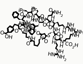 CC[C@H](C)[C@H](N)C(=O)N[C@@H](Cc1ccccc1)C(=O)N[C@@H](CC(C)C)C(=O)N[C@@H](CC(C)C)C(=O)N[C@@H](Cc1c[nH]c2ccccc12)C(=O)N[C@@H](CCC(N)=O)C(=O)N[C@@H](CCCNC(=N)N)C(=O)N[C@@H](CSC1CC(=O)N(CCCCCC(=O)NCCCOC(=O)[C@@H](N)Cc2ccc(C(O)O)cc2)C1=O)C(=O)N[C@@H](CCCNC(=N)N)C(=O)N[C@@H](CCCNC(=N)N)C(=O)O